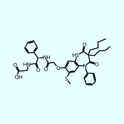 CCCCC1(CCCC)C(=O)[SH]c2cc(OCC(=O)N[C@@H](C(=O)NCC(=O)O)c3ccccc3)c(SC)cc2N(c2ccccc2)C1=O